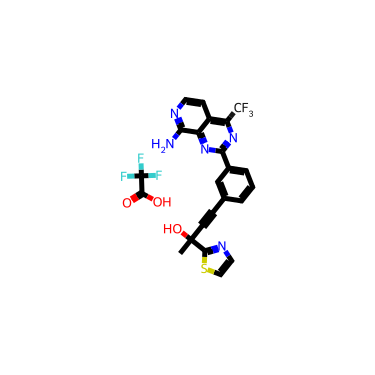 CC(O)(C#Cc1cccc(-c2nc(C(F)(F)F)c3ccnc(N)c3n2)c1)c1nccs1.O=C(O)C(F)(F)F